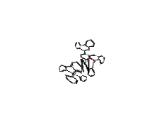 c1ccc(C2(c3ccccc3)c3ccccc3-c3ccc(N(c4ccc(-c5cc6ccccc6c6ccccc56)cc4)c4ccccc4-c4cccc5ccccc45)cc32)cc1